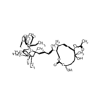 CC[C@H](O[Si](CC)(CC)CC)[C@@H](C)[C@H]1O[C@@H]1C[C@](C)(/C=C/C=C(\C)[C@H]1OC(=O)C[C@H](O)CC[C@@](C)(O)[C@@H](OC(C)=O)/C=C/[C@@H]1C)O[Si](CC)(CC)CC